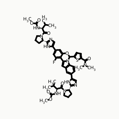 COC(=O)N[C@H](C(=O)N1CCC[C@H]1c1ncc(-c2cc(F)c3c(c2)OC(c2ccc(C(=O)N(C)C)s2)n2c-3cc3cc(-c4cnc([C@@H]5CCCN5C(=O)[C@@H](NC(=O)OC)C(C)C)[nH]4)ccc32)[nH]1)C(C)C